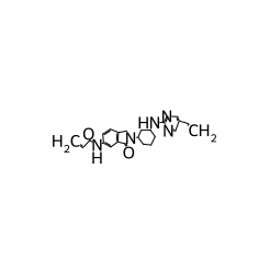 C=CC(=O)Nc1ccc2c(c1)C(=O)N([C@H]1CCC[C@@H](Nc3ncc(C=C)cn3)C1)C2